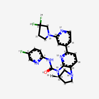 O=C(Nc1ccc(F)cn1)N1c2nc(-c3ccnc(N4CCC(F)(F)C4)c3)ccc2N2CC[C@H]1C2